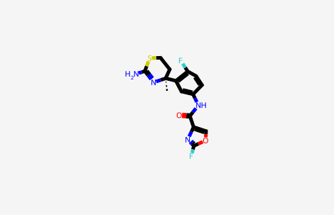 C[C@@]1(c2cc(NC(=O)c3coc(F)n3)ccc2F)CCSC(N)=N1